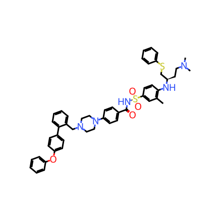 Cc1cc(S(=O)(=O)NC(=O)c2ccc(N3CCN(Cc4ccccc4-c4ccc(Oc5ccccc5)cc4)CC3)cc2)ccc1N[C@H](CCN(C)C)CSc1ccccc1